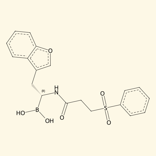 O=C(CCS(=O)(=O)c1ccccc1)N[C@@H](Cc1coc2ccccc12)B(O)O